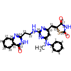 CN(c1ccccc1)c1cc(/C=C2\SC(=O)NC2=O)nc(NCCc2nc3ccccc3c(=O)[nH]2)n1